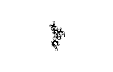 CC(C)C1(S)CC(OC(C)(C)C)CN1C(=O)OC1CCN(C)CC1